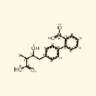 CC(C(=O)O)C(O)Cc1ccc(-c2ccccc2[N+](=O)[O-])cc1